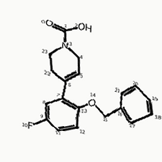 O=C(O)N1CC=C(c2cc(F)ccc2OCc2ccccc2)CC1